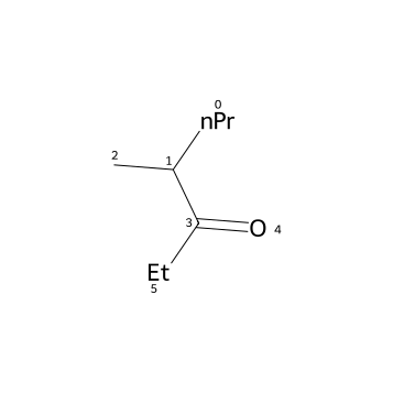 CCCC(C)C(=O)CC